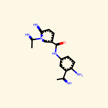 CC(=N)c1cc(NC(=O)c2ccc(=N)n(C(C)=N)c2)ccc1N